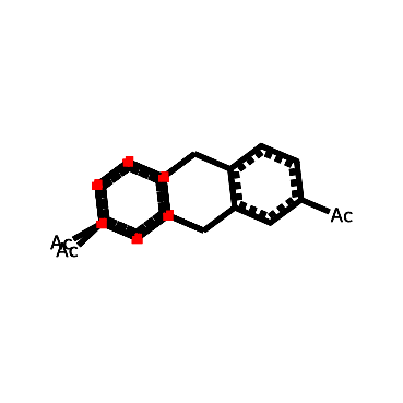 CC(=O)c1ccc2c(c1)C1c3cc(C(C)=O)ccc3C2c2ccc(C(C)=O)cc21